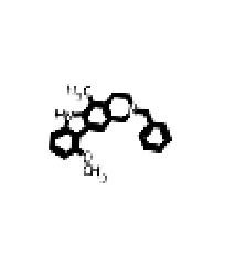 COc1cccc2[nH]c3c(C)c4c(cc3c12)CN(Cc1ccccc1)CC4